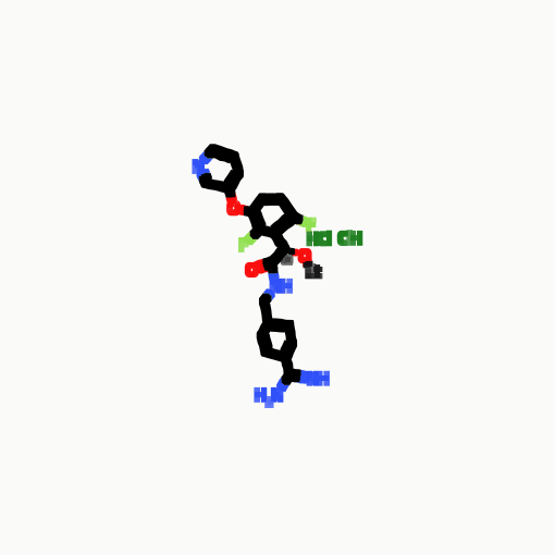 CCO[C@H](C(=O)NCc1ccc(C(=N)N)cc1)c1c(F)ccc(Oc2cccnc2)c1F.Cl.Cl